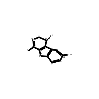 CC1=NC[C@@H](F)c2c1[nH]c1ccc(F)cc21